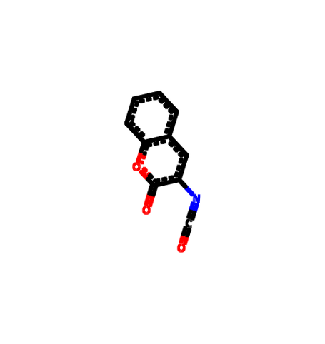 O=C=Nc1cc2ccccc2oc1=O